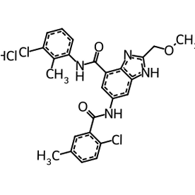 COCc1nc2c(C(=O)Nc3cccc(Cl)c3C)cc(NC(=O)c3cc(C)ccc3Cl)cc2[nH]1.Cl